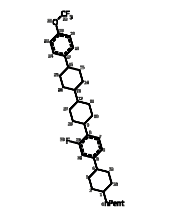 CCCCCC1CCC(c2ccc(C3CCC(C4CCC(c5ccc(OC(F)(F)F)cc5)CC4)CC3)c(F)c2)CC1